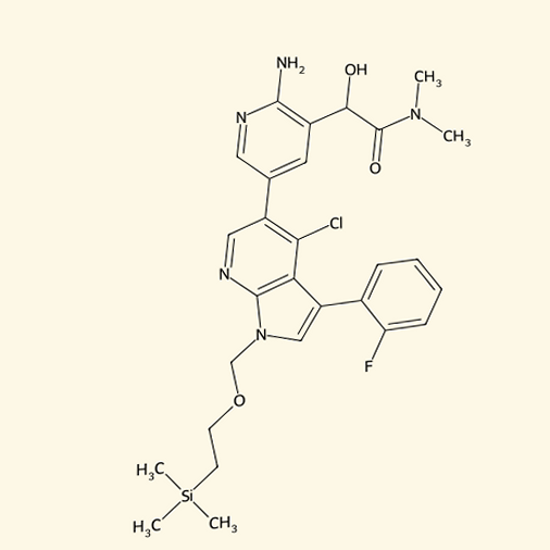 CN(C)C(=O)C(O)c1cc(-c2cnc3c(c(-c4ccccc4F)cn3COCC[Si](C)(C)C)c2Cl)cnc1N